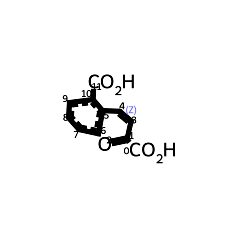 O=C(O)C(=O)/C=C\c1ccccc1C(=O)O